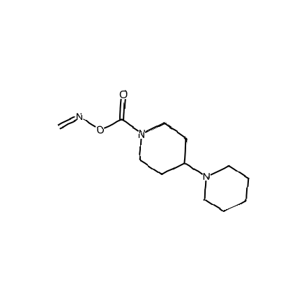 C=NOC(=O)N1CCC(N2CCCCC2)CC1